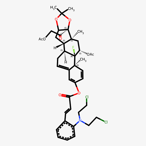 CC(=O)OCC(=O)[C@@]12OC(C)(C)OC1C[C@H]1[C@@H]3CC=C4C=C(OC(=O)C=Cc5ccccc5N(CCCl)CCCl)C=C[C@]4(C)[C@@]3(F)[C@@H](OC(C)=O)C[C@@]12C